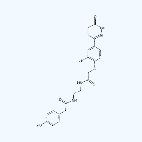 O=C(COc1ccc(C2=NNC(=O)CC2)cc1Cl)NCCNC(=O)Cc1ccc(O)cc1